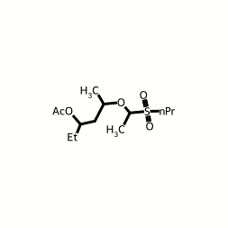 CCCS(=O)(=O)C(C)OC(C)CC(CC)OC(C)=O